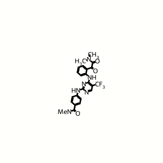 CNC(=O)c1ccc(Nc2ncc(C(F)(F)F)c(Nc3ccccc3C(=O)C(=O)N(C)C)n2)cc1